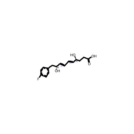 O=C(O)CC[C@H](O)/C=C/C=C/[C@H](O)Cc1ccc(F)cc1